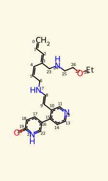 C=C/C=C(\C=C/CN/C=C/c1cnccc1-c1ccc(=O)[nH]c1)CNCCOCC